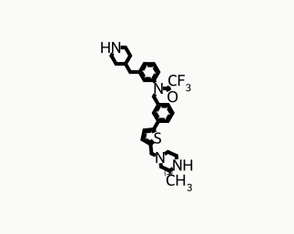 C[C@H]1CN(Cc2ccc(-c3cccc(CN(C(=O)C(F)(F)F)c4cccc(CC5CCNCC5)c4)c3)s2)CCN1